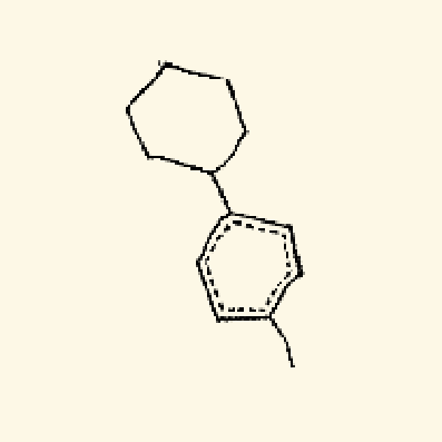 Cc1ccc(C2CC[CH]CC2)cc1